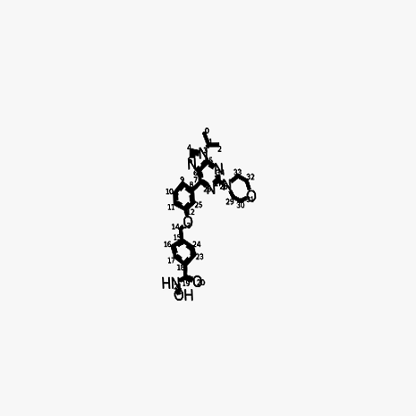 CC(C)n1cnc2c(-c3cccc(OCc4ccc(C(=O)NO)cc4)c3)nc(N3CCOCC3)nc21